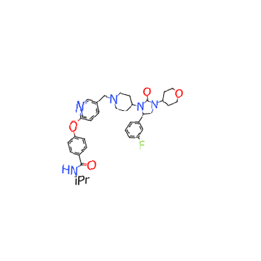 CC(C)NC(=O)c1ccc(Oc2ccc(CN3CCC(N4C(=O)N(C5CCOCC5)CC4c4cccc(F)c4)CC3)cn2)cc1